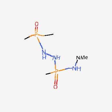 CNNP(C)(=O)NNP(C)(C)=O